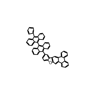 c1ccc(-c2c3ccccc3c(-c3c4ccccc4c(-c4ccc5oc6cc7c8ccccc8c8ccccc8c7cc6c5c4)c4ccccc34)c3ccccc23)cc1